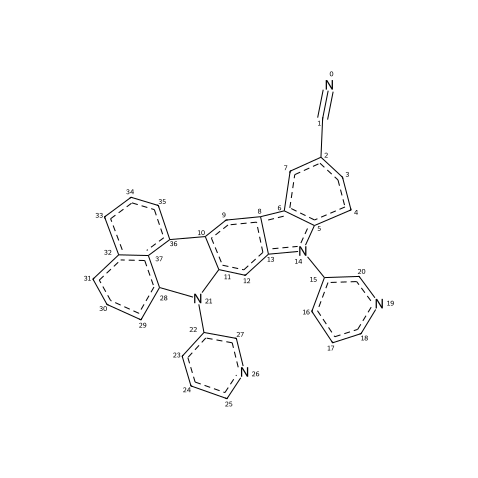 N#Cc1ccc2c(c1)c1cc3c(cc1n2-c1cccnc1)N(c1cccnc1)c1cccc2cccc-3c12